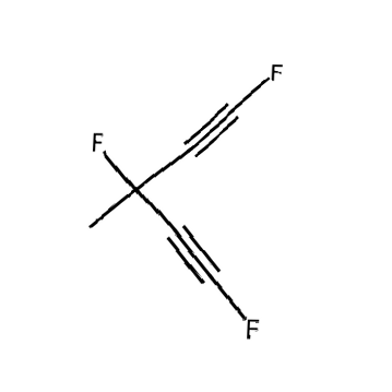 CC(F)(C#CF)C#CF